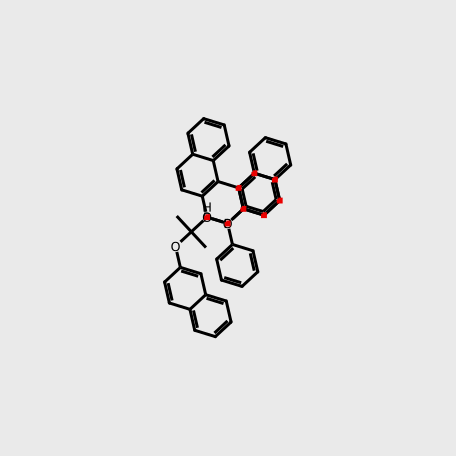 CC(C)(Oc1ccc2ccccc2c1)POc1ccc2ccccc2c1-c1c(OP(c2ccccc2)c2ccccc2)ccc2ccccc12